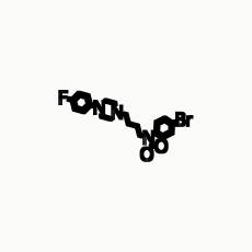 O=c1oc2cc(Br)ccc2n1CCCCN1CCN(c2ccc(F)cc2)CC1